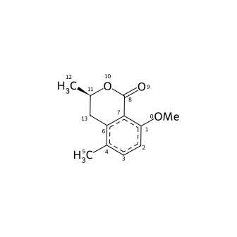 COc1ccc(C)c2c1C(=O)O[C@H](C)C2